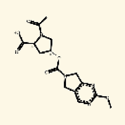 COc1ncc2c(n1)CN(C(=O)O[C@@H]1C[C@@H](C(=O)O)N(C(C)=O)C1)C2